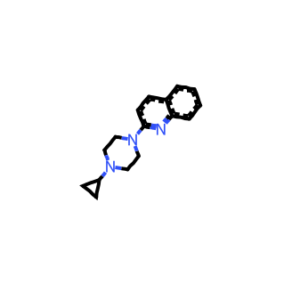 c1ccc2nc(N3CCN(C4CC4)CC3)ccc2c1